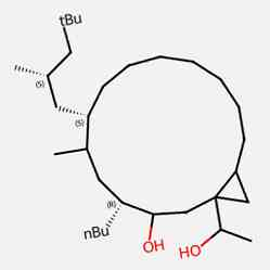 CCCC[C@@H]1CC(C)[C@H](C[C@H](C)CC(C)(C)C)CCCCCCCC2CC2(C(C)O)CC1O